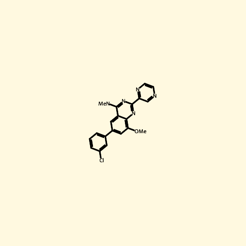 CNc1nc(-c2cnccn2)nc2c(OC)cc(-c3cccc(Cl)c3)cc12